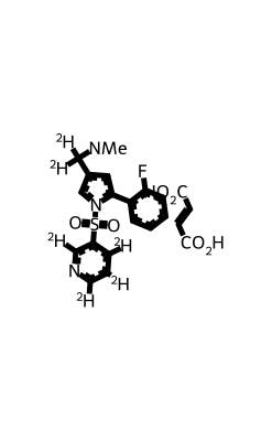 O=C(O)/C=C/C(=O)O.[2H]c1nc([2H])c(S(=O)(=O)n2cc(C([2H])([2H])NC)cc2-c2ccccc2F)c([2H])c1[2H]